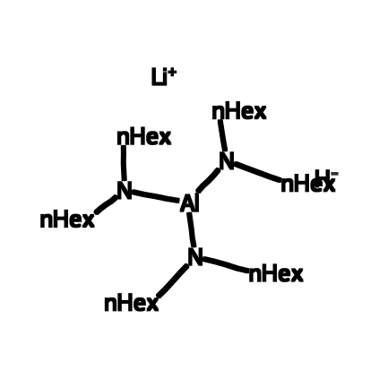 CCCCCC[N](CCCCCC)[Al]([N](CCCCCC)CCCCCC)[N](CCCCCC)CCCCCC.[H-].[Li+]